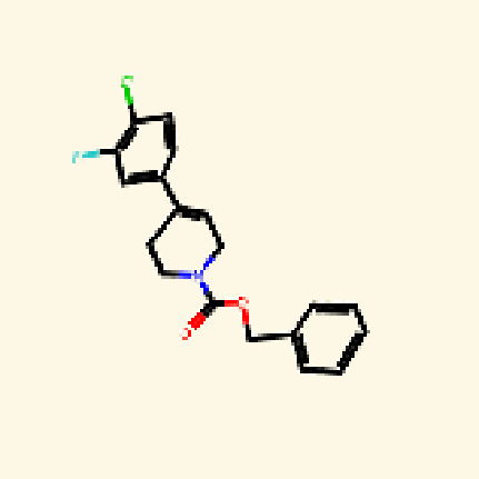 O=C(OCc1ccccc1)N1CC=C(c2ccc(Cl)c(F)c2)CC1